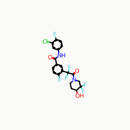 O=C(Nc1ccc(F)c(Cl)c1)c1ccc(F)c(C(F)(F)C(=O)N2CCC(O)C(F)(F)C2)c1